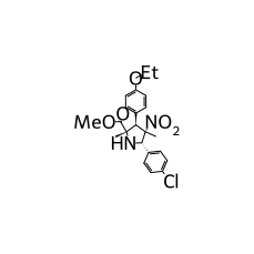 CCOc1ccc([C@H]2[C@](C)([N+](=O)[O-])[C@H](c3ccc(Cl)cc3)N[C@]2(C)C(=O)OC)cc1